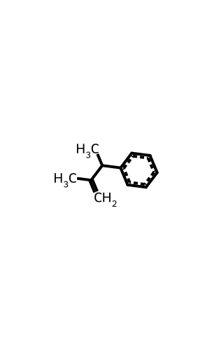 C=C(C)C(C)c1ccccc1